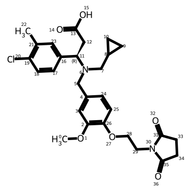 COc1cc(CN(CC2CC2)[C@H](CC(=O)O)c2ccc(Cl)c(C)c2)ccc1OCCN1C(=O)CCC1=O